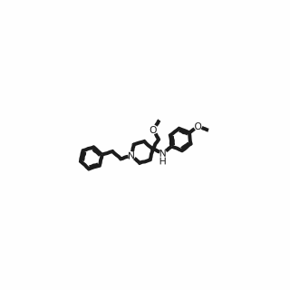 COCC1(Nc2ccc(OC)cc2)CCN(CCc2ccccc2)CC1